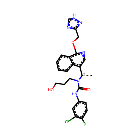 C[C@@H](c1cnc(OCc2nc[nH]n2)c2ccccc12)N(CCCO)C(=O)Nc1ccc(F)c(Cl)c1